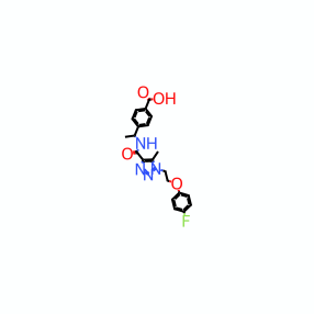 Cc1c(C(=O)NC(C)c2ccc(C(=O)O)cc2)nnn1CCOc1ccc(F)cc1